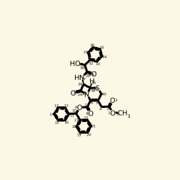 COC(=O)CC1=C(C(=O)OC(c2ccccc2)c2ccccc2)N2C(=O)[C@@H](NC(=O)C(O)c3ccccc3)[C@@H]2SC1